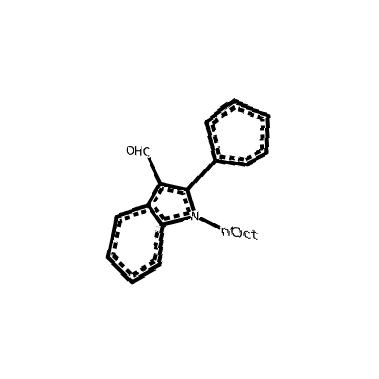 CCCCCCCCn1c(-c2ccccc2)c(C=O)c2ccccc21